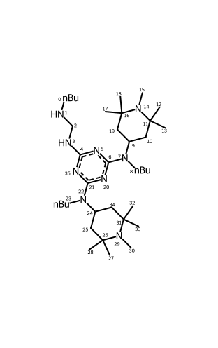 CCCCNCNc1nc(N(CCCC)C2CC(C)(C)N(C)C(C)(C)C2)nc(N(CCCC)C2CC(C)(C)N(C)C(C)(C)C2)n1